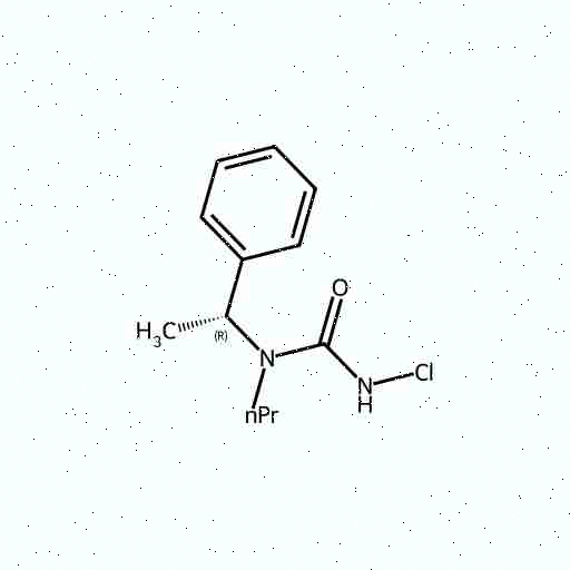 CCCN(C(=O)NCl)[C@H](C)c1ccccc1